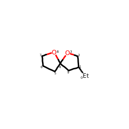 CCC1COC2(CCCO2)C1